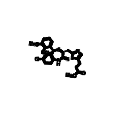 COC(=O)CCc1cnc(C[C@H]2S[C@H](c3cccc(OC)c3OC)c3cc(Cl)ccc3NC2=S)s1